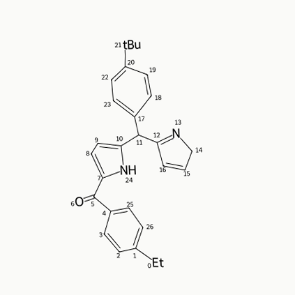 CCc1ccc(C(=O)c2ccc(C(C3=NCC=C3)c3ccc(C(C)(C)C)cc3)[nH]2)cc1